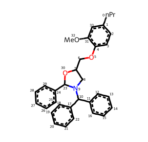 CCCc1ccc(OCC2CN(C(c3ccccc3)c3ccccc3)C(c3ccccc3)O2)c(OC)c1